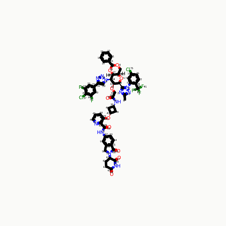 Cc1nc([C@@H]2O[C@@H]3COC(c4ccccc4)O[C@@H]3[C@H](n3cc(-c4cc(F)c(Cl)c(F)c4)nn3)[C@H]2OCC(=O)N[C@H]2C[C@@H](Oc3cccnc3C(=O)Nc3ccc4c(c3)CN(C3CCC(=O)NC3=O)C4=O)C2)n(-c2cc(Cl)ccc2C(F)(F)F)n1